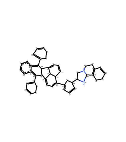 C1=CCCC(C2=c3ccccc3=C(C3=CC=CCC3)C3C4=CC=C(C5=CC=CC(C6CN7CCC8=C(CCC=C8)C7N6)C5)C5C=CC=C(C45)C23)=C1